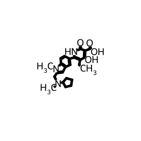 CCc1c(-c2ccc3c(c2)cc(CN(C)C2CCCC2)n3C)[nH]c(=O)c(C(=O)O)c1O